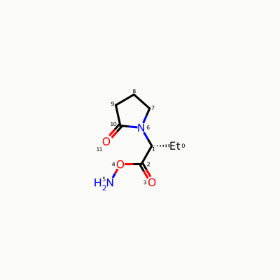 CC[C@H](C(=O)ON)N1CCCC1=O